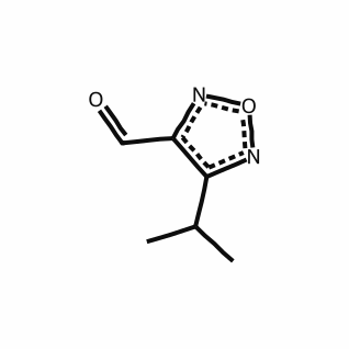 CC(C)c1nonc1C=O